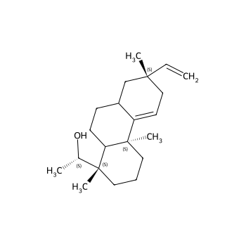 C=C[C@]1(C)CC=C2C(CCC3[C@@](C)([C@H](C)O)CCC[C@]23C)C1